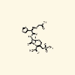 CS(=O)(=O)CC1=C(C(=O)O)N2C(=O)C(NC(=O)/C(=N\OCC(=O)O)c3cscn3)[C@H]2SC1